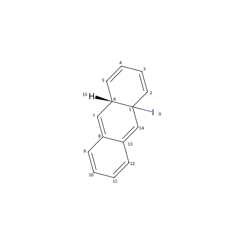 IC12C=CC=C[C@H]1C=c1ccccc1=C2